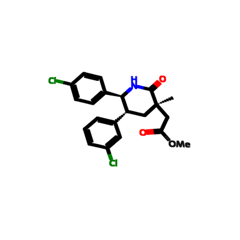 COC(=O)C[C@@]1(C)C[C@H](c2cccc(Cl)c2)[C@@H](c2ccc(Cl)cc2)NC1=O